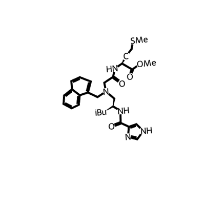 CC[C@H](C)[C@@H](CN(CC(=O)N[C@@H](CCSC)C(=O)OC)Cc1cccc2ccccc12)NC(=O)c1c[nH]cn1